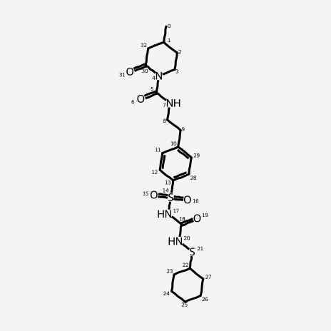 CC1CCN(C(=O)NCCc2ccc(S(=O)(=O)NC(=O)NSC3CCCCC3)cc2)C(=O)C1